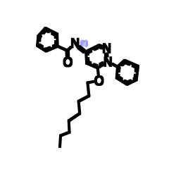 CCCCCCCCOc1c/c(=N\C(=O)c2ccccc2)cnn1-c1ccccc1